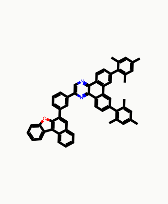 Cc1cc(C)c(-c2ccc3c(c2)c2cc(-c4c(C)cc(C)cc4C)ccc2c2nc(-c4cccc(-c5cc6ccccc6c6c5oc5ccccc56)c4)cnc32)c(C)c1